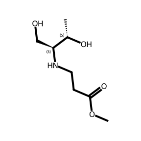 COC(=O)CCN[C@@H](CO)[C@H](C)O